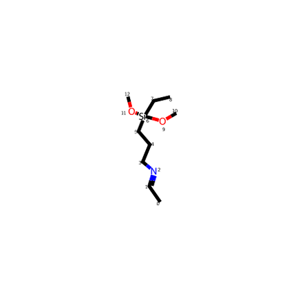 CC=NCCC[Si](CC)(OC)OC